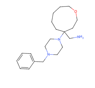 NCC1(N2CCN(Cc3ccccc3)CC2)CCCCCOCC1